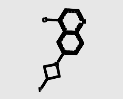 FC1CN(c2ccc3nccc(Cl)c3c2)C1